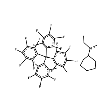 CC[NH+](C)C1CCCCC1.Fc1c(F)c(F)c([B-](c2c(F)c(F)c(F)c(F)c2F)(c2c(F)c(F)c(F)c(F)c2F)c2c(F)c(F)c(F)c(F)c2F)c(F)c1F